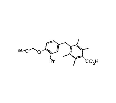 COCOc1ccc(Cc2c(C)c(C)c(C(=O)O)c(C)c2C)cc1C(C)C